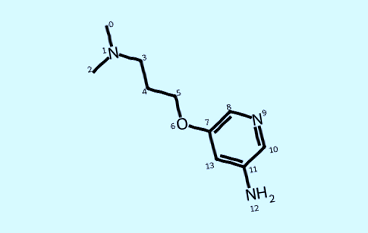 CN(C)CCCOc1cncc(N)c1